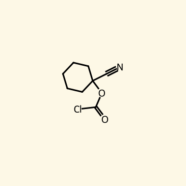 N#CC1(OC(=O)Cl)CCCCC1